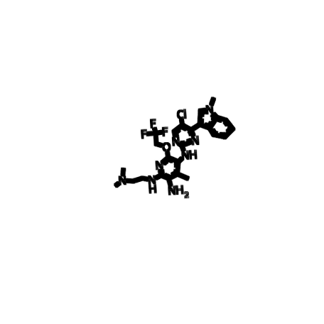 Cc1c(N)c(NCCN(C)C)nc(OCC(F)(F)F)c1Nc1ncc(Cl)c(-c2cn(C)c3ccccc23)n1